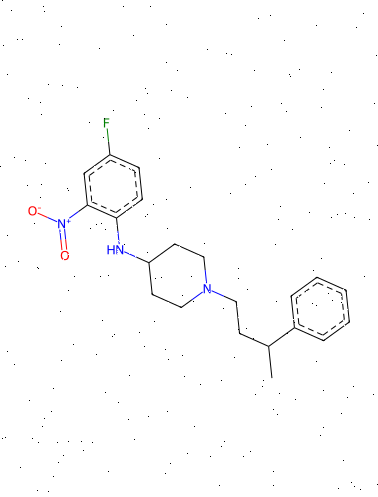 CC(CCN1CCC(Nc2ccc(F)cc2[N+](=O)[O-])CC1)c1ccccc1